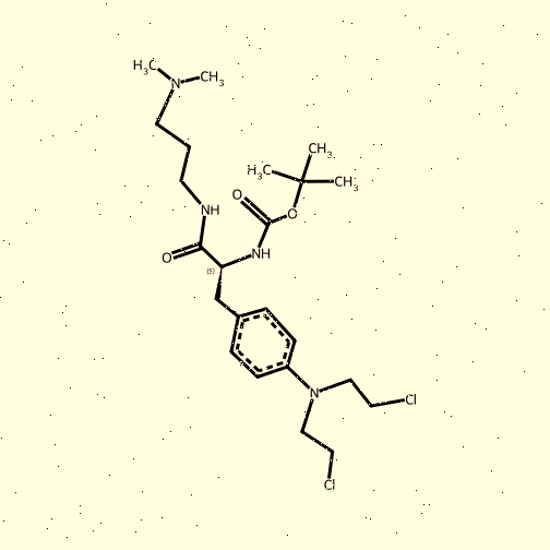 CN(C)CCCNC(=O)[C@H](Cc1ccc(N(CCCl)CCCl)cc1)NC(=O)OC(C)(C)C